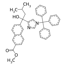 COC(=O)c1ccc2cc(C(O)(CC(C)C)c3cn(C(c4ccccc4)(c4ccccc4)c4ccccc4)cn3)ccc2c1